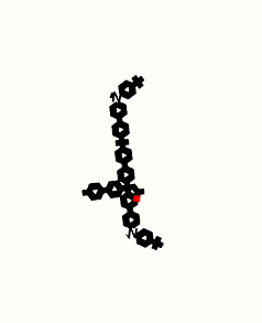 Cc1ccc(-c2ccc(C(CC(C)C)(c3ccc(-c4ccc(N(C)c5ccc(C(C)(C)C)cc5)cc4)cc3)c3ccc(-c4ccc(C(C)(C)c5ccc(-c6ccc(N(C)c7ccc(C(C)(C)C)cc7)cc6)cc5)cc4)cc3)cc2)cc1